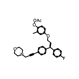 CC(=O)OOc1ccc(OCC=C(c2ccc(F)cc2)c2ccc(C#CCN3CCOCC3)cc2)cc1C